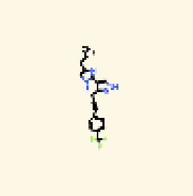 CCCc1c[nH]c(-c2c[nH]nc2CC#Cc2ccc(C(F)(F)F)cc2)n1